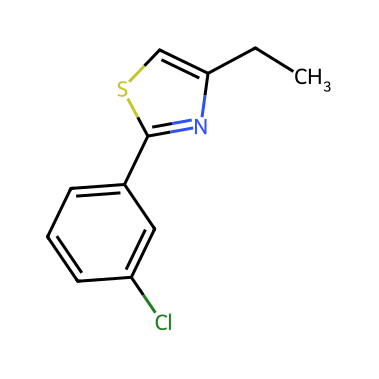 CCc1csc(-c2cccc(Cl)c2)n1